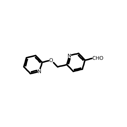 O=Cc1ccc(COc2ccccn2)nc1